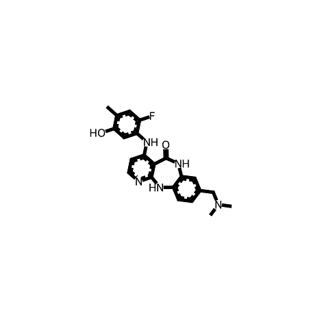 Cc1cc(F)c(Nc2ccnc3c2C(=O)Nc2cc(CN(C)C)ccc2N3)cc1O